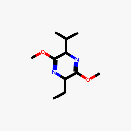 CCC1N=C(OC)C(C(C)C)N=C1OC